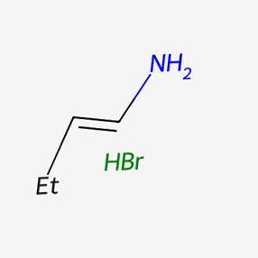 Br.CCC=CN